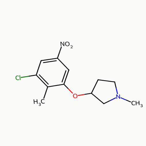 Cc1c(Cl)cc([N+](=O)[O-])cc1OC1CCN(C)C1